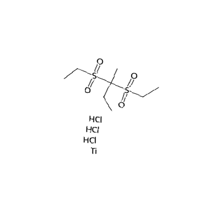 CCC(C)(S(=O)(=O)CC)S(=O)(=O)CC.Cl.Cl.Cl.[Ti]